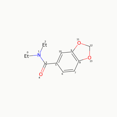 CCN(CC)C(=O)c1ccc2c(c1)OCO2